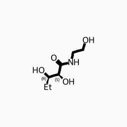 CC[C@@H](O)[C@H](O)C(=O)NCCO